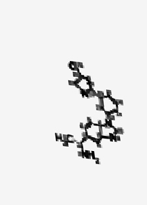 C[C@@H](N)c1ccc2c(c1)ncn2-c1cccc(-c2ncc(Cl)s2)c1